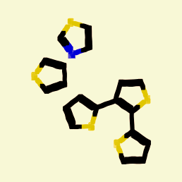 c1ccsc1.c1csc(-c2ccsc2-c2cccs2)c1.c1cscn1